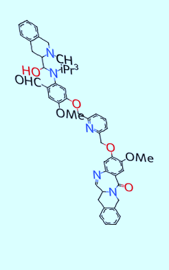 COc1cc2c(cc1OCc1cccc(COc3cc(N(C(C)C)C(O)C4Cc5ccccc5CN4C)c(C=O)cc3OC)n1)N=CC1Cc3ccccc3CN1C2=O